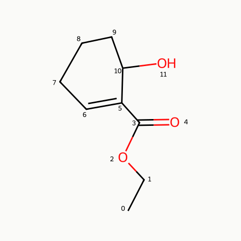 CCOC(=O)C1=CCCCC1O